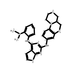 CN(C)c1ccccc1Nc1nc(Nc2ccc3c(c2)OCC2COCCN32)nc2sccc12